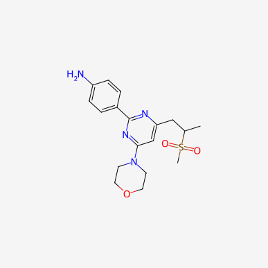 CC(Cc1cc(N2CCOCC2)nc(-c2ccc(N)cc2)n1)S(C)(=O)=O